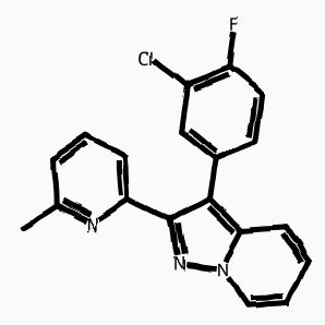 Cc1cccc(-c2nn3ccccc3c2-c2ccc(F)c(Cl)c2)n1